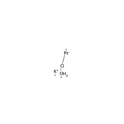 O.[Cl][Pt-].[K+]